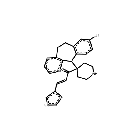 O=C(C=Cc1c[nH]cn1)C1(C2c3ccc(Cl)cc3CCc3cccnc32)CCNCC1